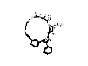 CC(C)(C)[C@@H]1NC(=O)OCCCC/C=C/c2cccc(c2)-c2nn(nc2-c2ccccc2)[C@@H]2C[C@@H](C(=O)O)N(C2)C1=O